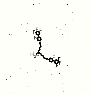 CC(CCCCC#Cc1ccc(-c2cc(F)c(F)c(F)c2)c(F)c1)CCCCC#Cc1ccc(-c2cc(F)c(F)c(F)c2)c(F)c1